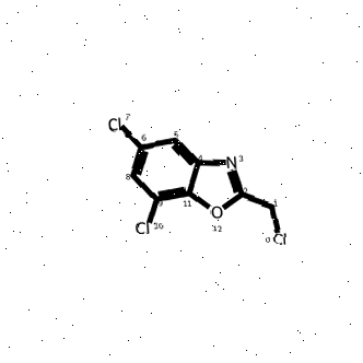 ClCc1nc2cc(Cl)cc(Cl)c2o1